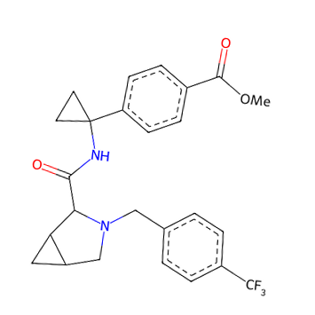 COC(=O)c1ccc(C2(NC(=O)C3C4CC4CN3Cc3ccc(C(F)(F)F)cc3)CC2)cc1